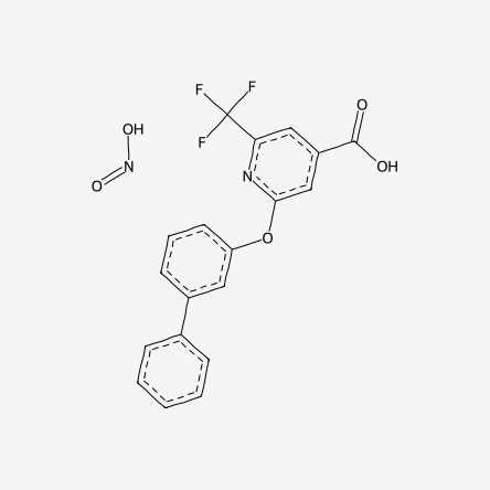 O=C(O)c1cc(Oc2cccc(-c3ccccc3)c2)nc(C(F)(F)F)c1.O=NO